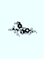 C[C@H](CNC(=O)O)Oc1cc2[nH]ncc2cc1Nc1ncnc2sc3c(c12)CC[C@H](C(=O)N(C)C)C3